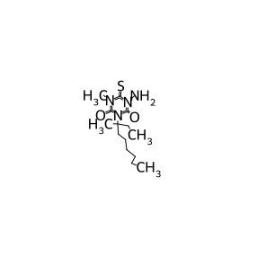 CCCCCCC(C)(CC)n1c(=O)n(C)c(=S)n(N)c1=O